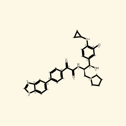 O=C(N[C@H](CN1CCCC1)[C@H](O)c1ccc(OC2CC2)c(Cl)c1)C(=O)c1ccc(-c2ccc3scnc3c2)cc1